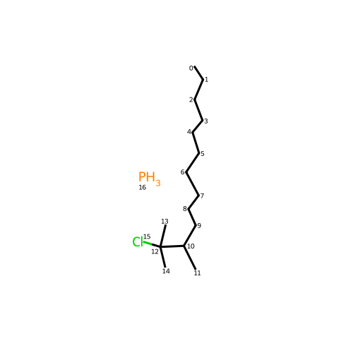 CCCCCCCCCCC(C)C(C)(C)Cl.P